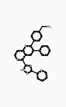 NCc1ccc(-c2nc3ccnc(-c4nc(-c5ccccn5)n[nH]4)c3cc2-c2ccccc2)cc1